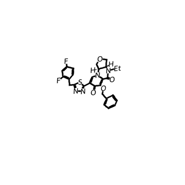 CCN1C(=O)c2c(OCc3ccccc3)c(=O)c(-c3nnc(Cc4ccc(F)cc4F)s3)cn2[C@H]2COC[C@@H]21